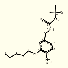 CCCCCOc1cc(CNC(=O)OC(C)(C)C)ccc1N